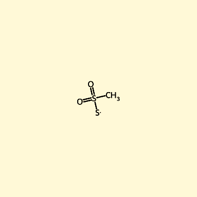 CS(=O)(=O)[S]